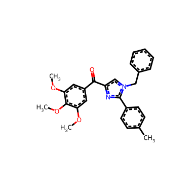 COc1cc(C(=O)c2cn(Cc3ccccc3)c(-c3ccc(C)cc3)n2)cc(OC)c1OC